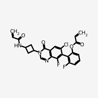 C=CC(=O)NC1CC(n2cnc3c(F)c(-c4c(F)cccc4OC(=O)C=C)c(Cl)cc3c2=O)C1